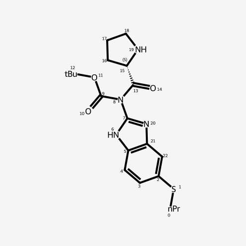 CCCSc1ccc2[nH]c(N(C(=O)OC(C)(C)C)C(=O)[C@@H]3CCCN3)nc2c1